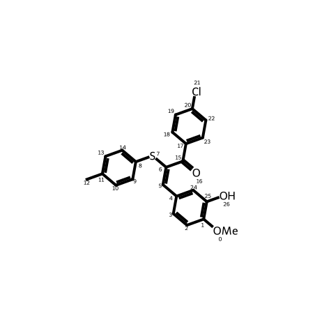 COc1ccc(/C=C(/Sc2ccc(C)cc2)C(=O)c2ccc(Cl)cc2)cc1O